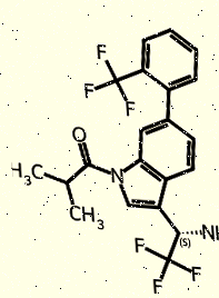 CC(C)C(=O)n1cc([C@H](N)C(F)(F)F)c2ccc(-c3ccccc3C(F)(F)F)cc21